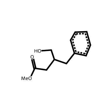 COC(=O)CC(CO)Cc1ccccc1